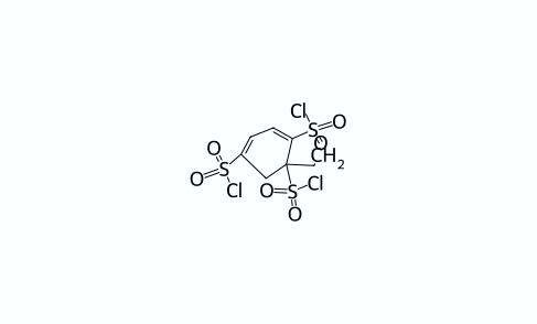 C=CC1(S(=O)(=O)Cl)CC(S(=O)(=O)Cl)=CC=C1S(=O)(=O)Cl